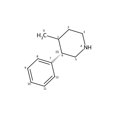 CC1CCNC[C@@H]1c1ccccc1